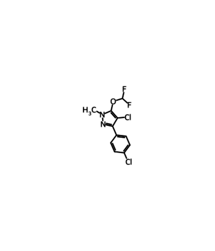 Cn1nc(-c2ccc(Cl)cc2)c(Cl)c1OC(F)F